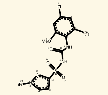 COc1cc(Cl)cc(C(F)(F)F)c1NC(=O)NS(=O)(=O)c1ccn(C(C)C)n1